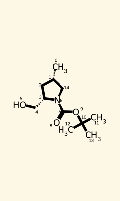 C[C@H]1C[C@@H](CO)N(C(=O)OC(C)(C)C)C1